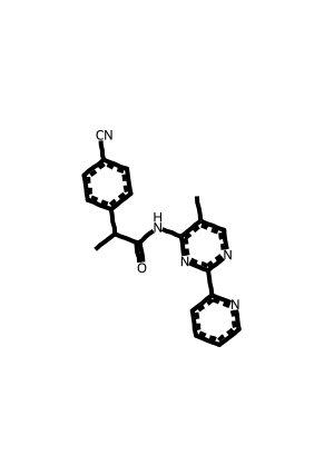 Cc1cnc(-c2ccccn2)nc1NC(=O)C(C)c1ccc(C#N)cc1